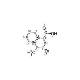 Cc1ccc(C(=O)O)c2ccccc12.[Zn]